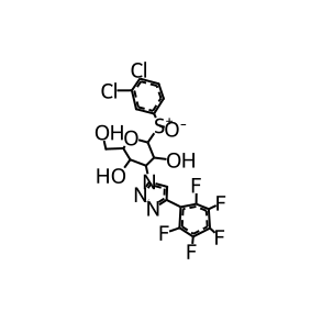 [O-][S+](c1ccc(Cl)c(Cl)c1)C1OC(CO)C(O)C(n2cc(-c3c(F)c(F)c(F)c(F)c3F)nn2)C1O